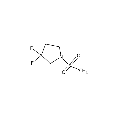 CS(=O)(=O)N1CCC(F)(F)C1